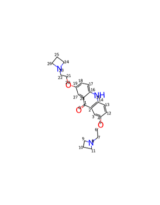 O=c1c2cc(OCCN3CCC3)ccc2[nH]c2ccc(OCCN3CCC3)cc12